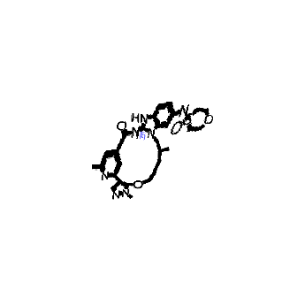 Cc1cc2cc(n1)-c1cnn(C)c1OCCCC(C)CN1/C(=N/C2=O)Nc2ccc(N=S3(=O)CCOCC3)cc21